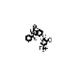 O=[N+]([O-])c1ccc(Oc2ncc(C(F)(F)F)cc2Cl)cc1P(=O)(Cl)c1ccccc1